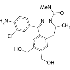 CNC(=O)N1N=C(c2ccc(N)c(Cl)c2)c2cc(CO)c(CO)cc2CC1C